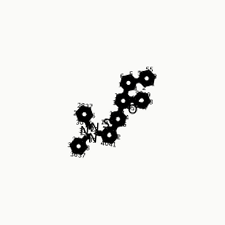 c1ccc(-c2cccc(-c3ccc(-c4ccc5c(c4)sc4c(-c6nc(-c7ccccc7)nc(-c7ccccc7)n6)cccc45)c4oc5ccccc5c34)c2)cc1